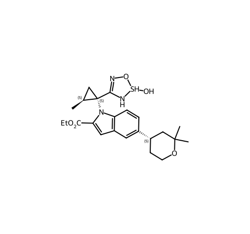 CCOC(=O)c1cc2cc([C@H]3CCOC(C)(C)C3)ccc2n1[C@@]1(C2=NO[SH](O)N2)C[C@@H]1C